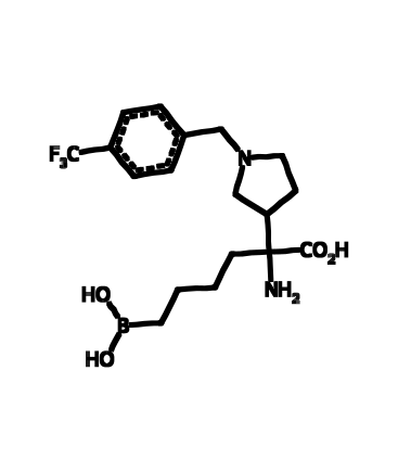 NC(CCCCB(O)O)(C(=O)O)C1CCN(Cc2ccc(C(F)(F)F)cc2)C1